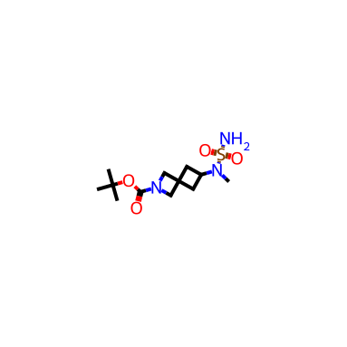 CN(C1CC2(C1)CN(C(=O)OC(C)(C)C)C2)S(N)(=O)=O